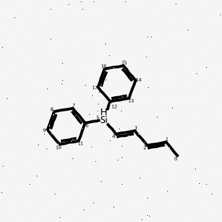 CC=CC=C[SiH](c1ccccc1)c1ccccc1